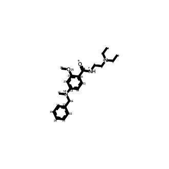 CCN(CC)CCNC(=O)c1ccc(N(C)Cc2ccccc2)cc1OC